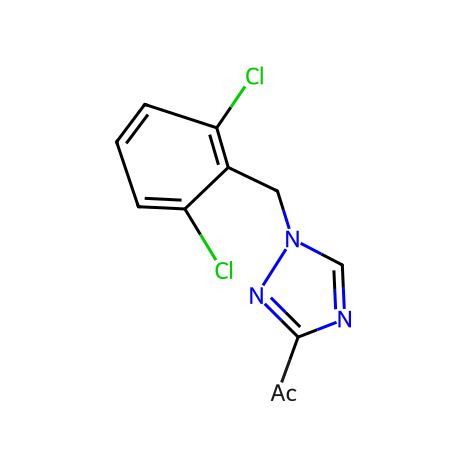 CC(=O)c1ncn(Cc2c(Cl)cccc2Cl)n1